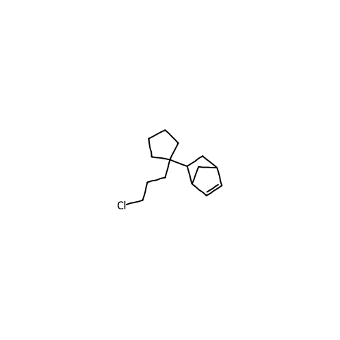 ClCCCC1(C2CC3C=CC2C3)CCCC1